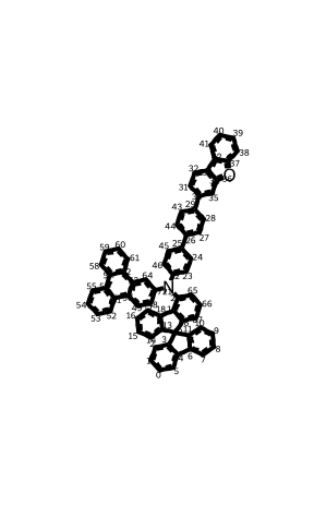 c1ccc2c(c1)-c1ccccc1C21c2ccccc2-c2c(N(c3ccc(-c4ccc(-c5ccc6c(c5)oc5ccccc56)cc4)cc3)c3ccc4c5ccccc5c5ccccc5c4c3)cccc21